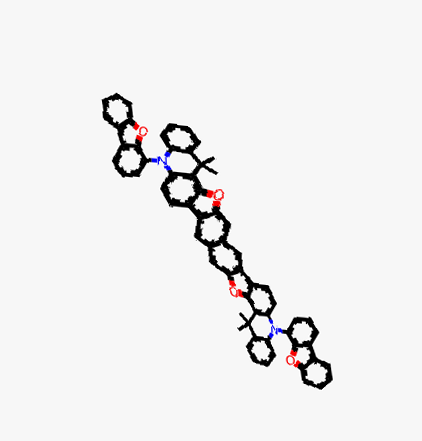 CC1(C)c2ccccc2N(c2cccc3c2oc2ccccc23)c2ccc3c(oc4cc5cc6c(cc5cc43)oc3c4c(ccc36)N(c3cccc5c3oc3ccccc35)c3ccccc3C4(C)C)c21